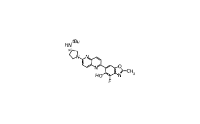 Cc1nc2c(F)c(O)c(-c3ccc4nc(N5CC[C@H](NC(C)(C)C)C5)ccc4n3)cc2o1